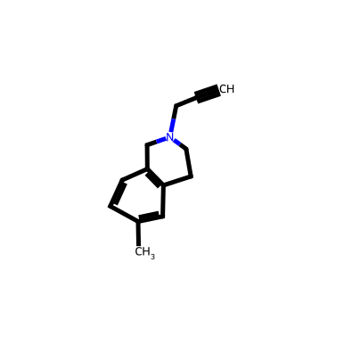 C#CCN1CCc2cc(C)ccc2C1